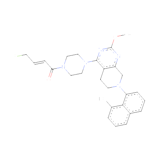 COc1nc2c(c(N3CCN(C(=O)/C=C/CF)CC3)n1)CCN(c1cccc3cccc(C)c13)C2